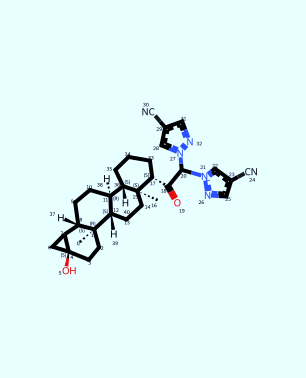 C[C@]12CC[C@]3(O)CC3[C@@H]1CC[C@@H]1[C@@H]2CC[C@]2(C)[C@@H](C(=O)C(n3cc(C#N)cn3)n3cc(C#N)cn3)CCC[C@@H]12